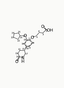 O=C(O)CCCOc1ccc([C@@H]2CCC(=O)NC2)cc1OC1CCCC1